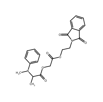 CC(C(=O)OCC(=O)OCCN1C(=O)c2ccccc2C1=O)N(C)c1ccccc1